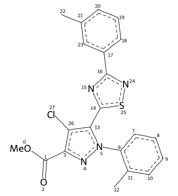 COC(=O)c1nn(-c2ccccc2C)c(-c2nc(-c3cccc(C)c3)ns2)c1Cl